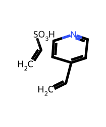 C=CS(=O)(=O)O.C=Cc1ccncc1